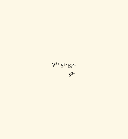 [S+2].[S-2].[S-2].[V+5]